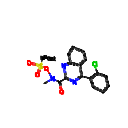 CCCCCS(=O)(=O)ON(C)C(=O)c1nc(-c2ccccc2Cl)c2ccccc2n1